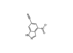 N#Cc1cc([N+](=O)[O-])c2cn[nH]c2c1